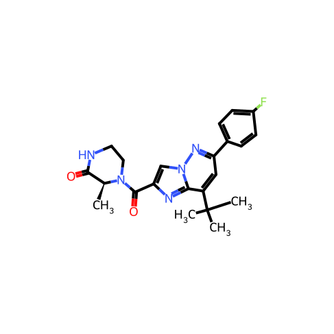 C[C@H]1C(=O)NCCN1C(=O)c1cn2nc(-c3ccc(F)cc3)cc(C(C)(C)C)c2n1